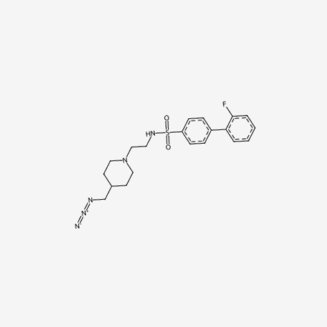 [N-]=[N+]=NCC1CCN(CCNS(=O)(=O)c2ccc(-c3ccccc3F)cc2)CC1